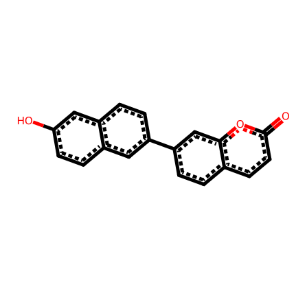 O=c1ccc2ccc(-c3ccc4cc(O)ccc4c3)cc2o1